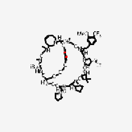 CCO[C@@H]1C[C@H]2CNC3(CN(C)[C@@H](C4CCCC4)CN(C)[C@H](C(=O)N4CCCC4)CCN(C)[C@H]4CCCCCCc5ccc(cc5)C[C@@H](CN(C)CCN[C@@H](CCc5ccc(C(F)(F)F)c(OC)c5)CN2C1)N1CC/C=C\C[C@@H](C1)N(C)CCN(C)C[C@H]([C@@H](C)CC)NC4)CC(C)(C)C3